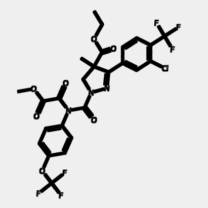 CCOC(=O)C1(C)CN(C(=O)N(C(=O)C(=O)OC)c2ccc(OC(F)(F)F)cc2)N=C1c1ccc(C(F)(F)F)c(Cl)c1